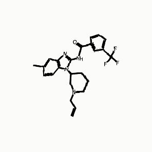 C=CCN1CCCC(n2c(NC(=O)c3cccc(C(F)(F)F)c3)nc3cc(C)ccc32)C1